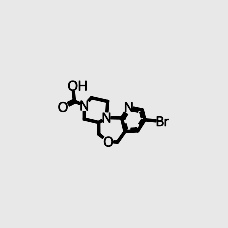 O=C(O)N1CCN2c3ncc(Br)cc3COCC2C1